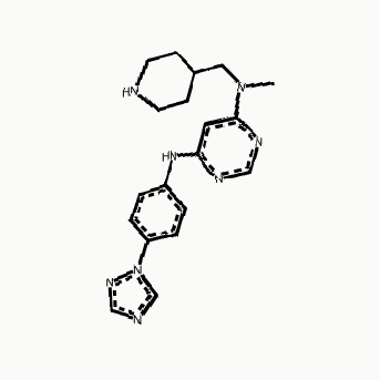 CN(CC1CCNCC1)c1cc(Nc2ccc(-n3cncn3)cc2)ncn1